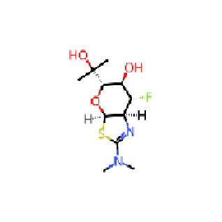 CN(C)C1=N[C@@H]2[C@@H](F)[C@H](O)[C@@H](C(C)(C)O)O[C@@H]2S1